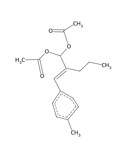 CCC/C(=C\c1ccc(C)cc1)C(OC(C)=O)OC(C)=O